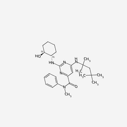 CN(C(=O)c1cc(NC(C)(C)CC(C)(C)C)nc(N[C@H]2CCCC[C@@H]2O)n1)c1ccccc1